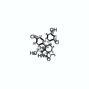 CC[C@@]12CC[C@@H](c3ccc(O)cc3Cl)[C@H](c3ccc(Cl)cc3)[C@@H]1[C@@H](CO)NC2=O